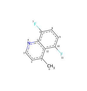 Cc1ccnc2c(F)ccc(F)c12